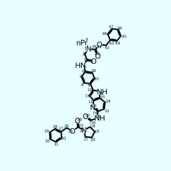 CCCN(CC(=O)Nc1ccc(-c2cc3nc(NC(=O)[C@@H]4CCCN4C(=O)OCc4ccccc4)ccc3[nH]2)cc1)C(=O)OCc1ccccc1